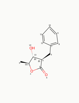 C[C@@H]1OC(=O)[C@H](Cc2ccccc2)[C@H]1O